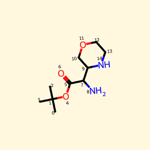 CC(C)(C)OC(=O)C(N)C1COCCN1